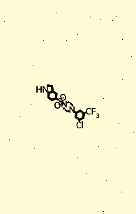 O=S(=O)(c1ccc2[nH]ccc2c1)N1CCN(c2cc(Cl)cc(C(F)(F)F)c2)CC1